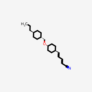 CCC[C@H]1CC[C@H](CO[C@H]2CC[C@H](C=CC=CC#N)CC2)CC1